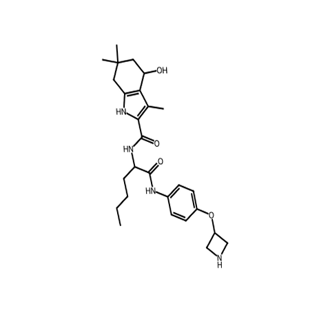 CCCCC(NC(=O)c1[nH]c2c(c1C)C(O)CC(C)(C)C2)C(=O)Nc1ccc(OC2CNC2)cc1